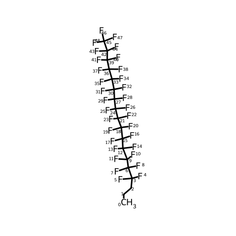 CCCC(F)(F)C(F)(F)C(F)(F)C(F)(F)C(F)(F)C(F)(F)C(F)(F)C(F)(F)C(F)(F)C(F)(F)C(F)(F)C(F)(F)C(F)(F)C(F)(F)C(F)(F)F